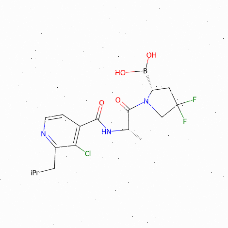 CC(C)Cc1nccc(C(=O)N[C@@H](C)C(=O)N2CC(F)(F)C[C@H]2B(O)O)c1Cl